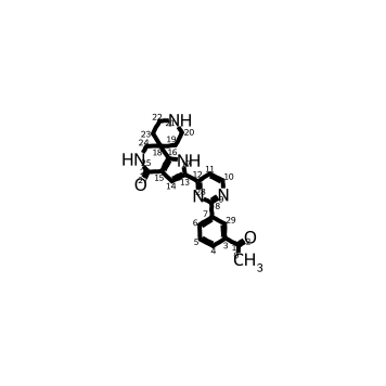 CC(=O)c1cccc(-c2nccc(-c3cc4c([nH]3)C3(CCNCC3)CNC4=O)n2)c1